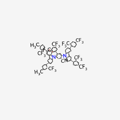 Cc1ccc(-c2ccc3c(c2)c2cc(-c4ccc(C)cc4C(F)(F)F)ccc2n3-c2cc(C#N)c(-n3c4ccc(-c5ccc(C(F)(F)F)cc5C(F)(F)F)cc4c4cc(-c5ccc(C(F)(F)F)cc5C(F)(F)F)ccc43)cc2-c2cc(C(F)(F)F)cc(C(F)(F)F)c2)c(C(F)(F)F)c1